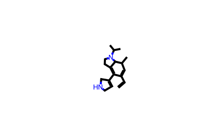 C=CC1=CC(C)C2C(=C1C1=CCNC1)CCN2C(C)C